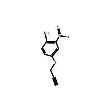 C#CCSc1ccc(N)c([N+](=O)[O-])c1